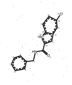 O=C(NCc1ccccc1)c1cc2cc(Cl)ccc2[nH]1